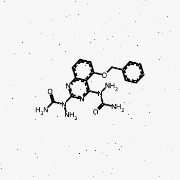 NC(=O)N(N)c1nc(N(N)C(N)=O)c2c(OCc3ccccc3)cccc2n1